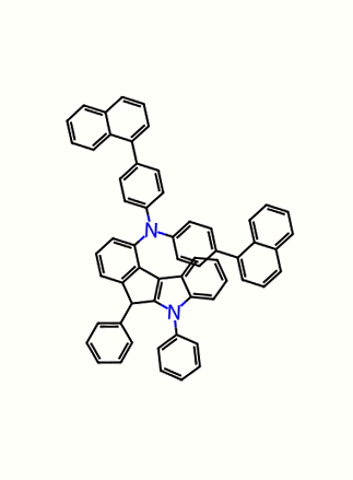 c1ccc(C2c3cccc(N(c4ccc(-c5cccc6ccccc56)cc4)c4ccc(-c5cccc6ccccc56)cc4)c3-c3c2n(-c2ccccc2)c2ccccc32)cc1